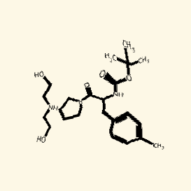 Cc1ccc(CC(NC(=O)OC(C)(C)C)C(=O)N2CCCC2)cc1.OCCNCCO